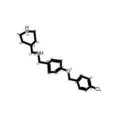 Clc1ccc(COc2ccc(CNCC3CCNCC3)cc2)cc1